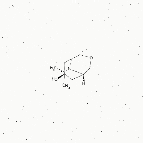 CC(C)N1C2COC[C@@H]1C[C@@H](O)C2